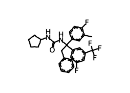 Cc1cc(C(Cc2ccccc2)(NC(=O)NC2CCCC2)c2cc(F)cc(C(F)(F)F)c2)ccc1F